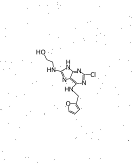 OCCNc1nc2c(NCc3ccco3)nc(Cl)nc2[nH]1